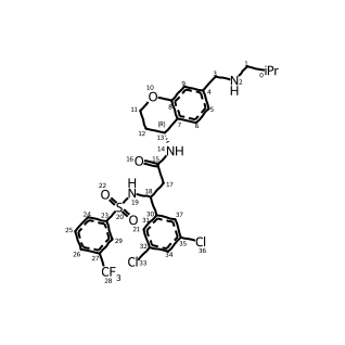 CC(C)CNCc1ccc2c(c1)OCC[C@H]2NC(=O)CC(NS(=O)(=O)c1cccc(C(F)(F)F)c1)c1cc(Cl)cc(Cl)c1